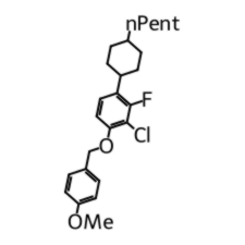 CCCCCC1CCC(c2ccc(OCc3ccc(OC)cc3)c(Cl)c2F)CC1